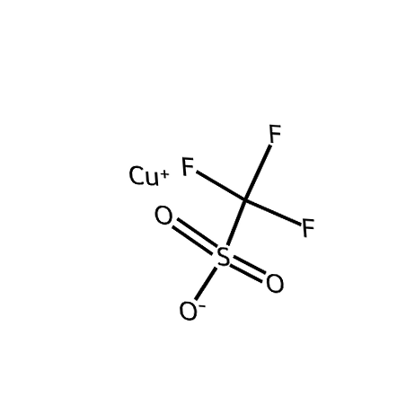 O=S(=O)([O-])C(F)(F)F.[Cu+]